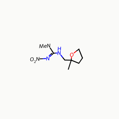 CNC(=N[N+](=O)[O-])NCC1(C)CCCO1